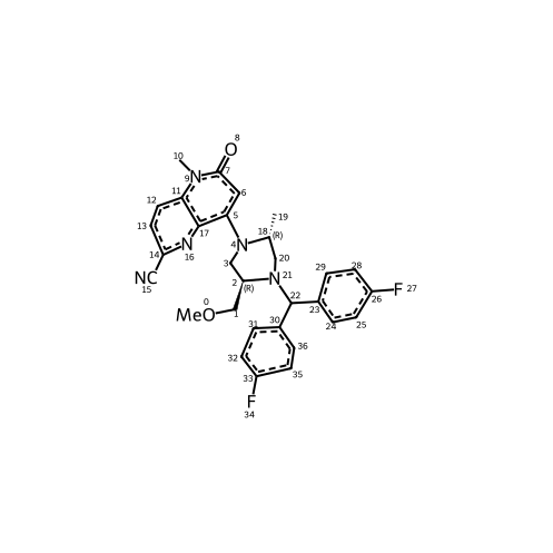 COC[C@H]1CN(c2cc(=O)n(C)c3ccc(C#N)nc23)[C@H](C)CN1C(c1ccc(F)cc1)c1ccc(F)cc1